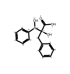 O=C(O)[C@](O)(Cc1ccccc1)N(O)c1ccccc1